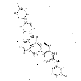 Cc1cccc(NC(=O)Nc2ccc(-c3cn([C@H]4CC[C@@H](N5CCN(C)CC5)CC4)c4ncnc(N)c34)cc2F)c1